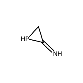 N=C1CP1